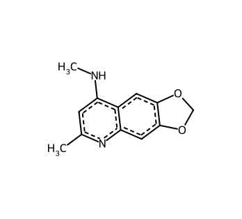 CNc1cc(C)nc2cc3c(cc12)OCO3